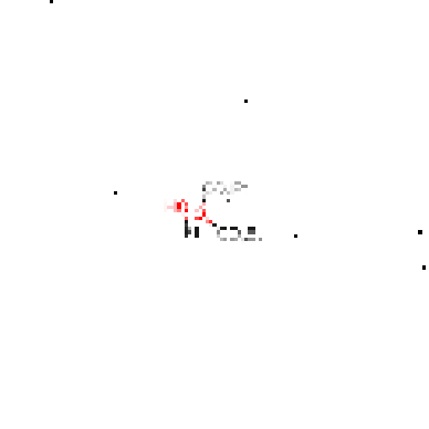 CCO.CCOC(=O)OC(=O)OCC